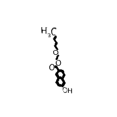 CCCCCCOCCOC(=O)c1ccc2cc(O)ccc2c1